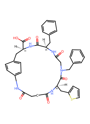 O=C1CCC(=O)N[C@H](Cc2cccs2)C(=O)N(Cc2ccccc2)CC(=O)N[C@H](Cc2ccccc2)C(=O)N[C@H](C(=O)O)Cc2ccc(cc2)N1